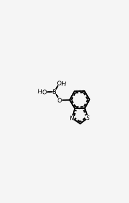 OB(O)Oc1cccc2scnc12